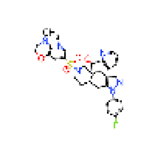 CN1CCOc2cc(S(=O)(=O)N3CCC4Cc5c(cnn5-c5ccc(F)cc5)CC4(C(=O)c4ccccn4)C3)cnc21